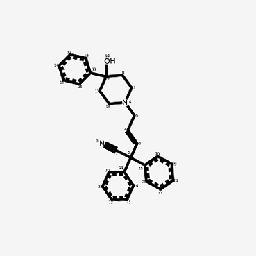 N#CC(C=CCN1CCC(O)(c2ccccc2)CC1)(c1ccccc1)c1ccccc1